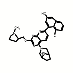 CN1CCCC1COc1nc(N2CC3CCC(C2)N3)c2ccc(-c3cc(O)cc4cccc(Cl)c34)nc2n1